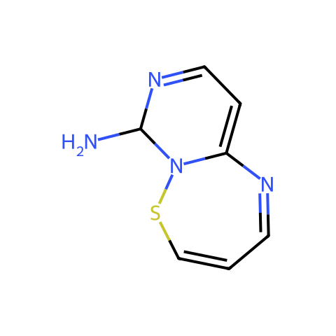 NC1N=CC=C2N=CC=CSN21